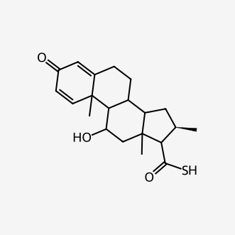 C[C@@H]1CC2C3CCC4=CC(=O)C=CC4(C)C3C(O)CC2(C)C1C(=O)S